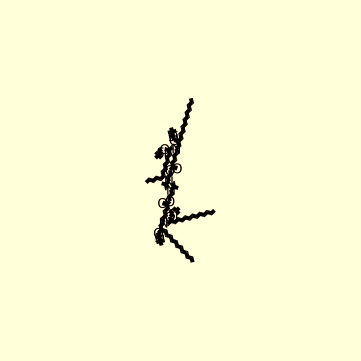 CCCCCCCCCCCCC(CN(CCCCC(=O)OCCN1CC(C)N(CCOC(=O)CCCCN(CC(CCCCCCCCCCCC)O[Si](C)(C)C(C)(C)C)CC(CCCCCCCCCCCC)O[Si](C)(C)C(C)(C)C)CC1C)CC(CCCCCCCCCCCC)O[Si](C)(C)C(C)(C)C)O[Si](C)(C)C(C)(C)C